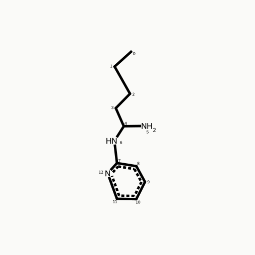 CCCCC(N)Nc1ccccn1